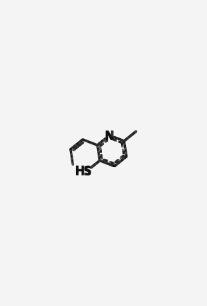 C/C=C\c1nc(C)ccc1S